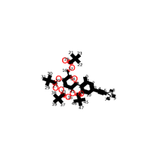 Cc1cc(C#C[Si](C)(C)C)ccc1[C@H]1O[C@H](COC(=O)C(C)(C)C)[C@@H](OC(=O)C(C)(C)C)[C@@H](OC(=O)C(C)(C)C)[C@@H]1OC(=O)C(C)(C)C